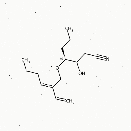 C=CC(=CCCC)CO[C@@H](CCC)C(O)CC#N